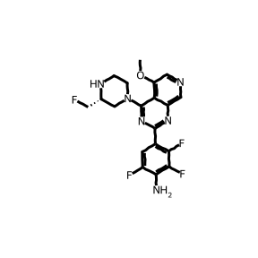 COc1cncc2nc(-c3cc(F)c(N)c(F)c3F)nc(N3CCN[C@@H](CF)C3)c12